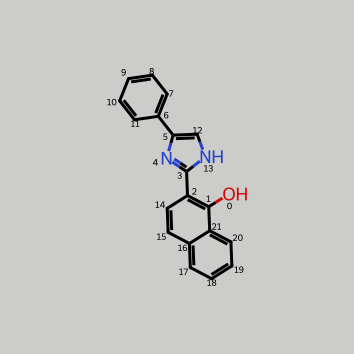 Oc1c(-c2nc(-c3ccccc3)c[nH]2)ccc2ccccc12